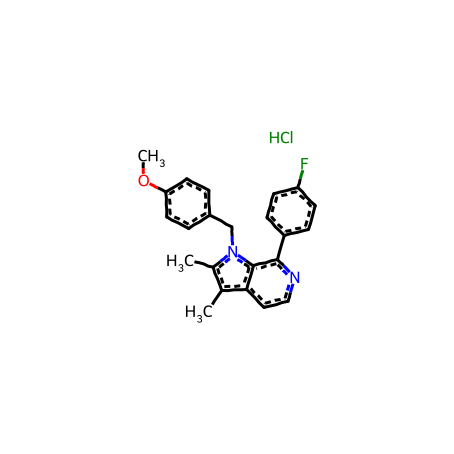 COc1ccc(Cn2c(C)c(C)c3ccnc(-c4ccc(F)cc4)c32)cc1.Cl